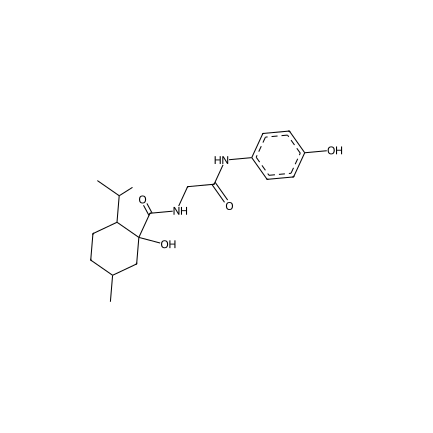 CC1CCC(C(C)C)C(O)(C(=O)NCC(=O)Nc2ccc(O)cc2)C1